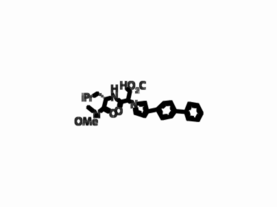 CON(C)C(=O)[C@H](CC(C)C)NC(=O)C(CC(=O)O)n1ccc(-c2ccc(-c3ccccc3)cc2)c1